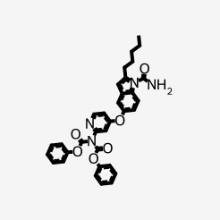 CCCCCc1cc2cc(Oc3ccnc(N(C(=O)Oc4ccccc4)C(=O)Oc4ccccc4)c3)ccc2n1C(N)=O